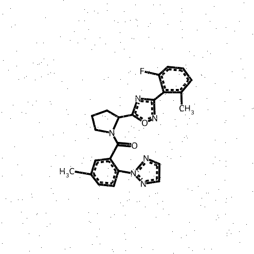 Cc1ccc(-n2nccn2)c(C(=O)N2CCCC2c2nc(-c3c(C)cccc3F)no2)c1